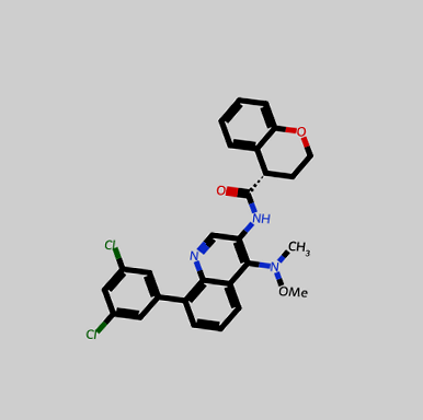 CON(C)c1c(NC(=O)[C@H]2CCOc3ccccc32)cnc2c(-c3cc(Cl)cc(Cl)c3)cccc12